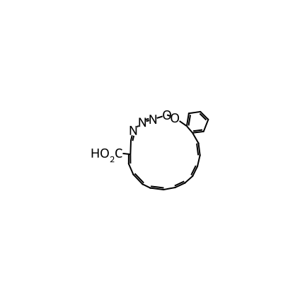 O=C(O)c1cccccccccccc2ccccc2oonnnc1